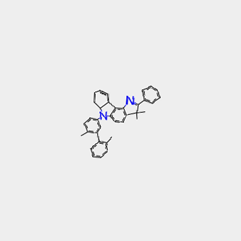 Cc1ccccc1-c1cc(N2c3ccc4c(c3C3C=CC=CC32)N=C(c2ccccc2)C4(C)C)ccc1C